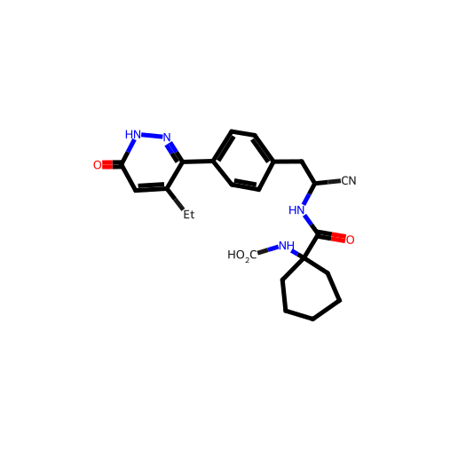 CCc1cc(=O)[nH]nc1-c1ccc(CC(C#N)NC(=O)C2(NC(=O)O)CCCCC2)cc1